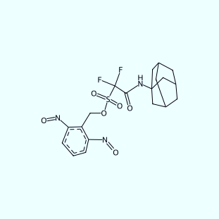 O=Nc1cccc(N=O)c1COS(=O)(=O)C(F)(F)C(=O)NC12CC3CC(CC(C3)C1)C2